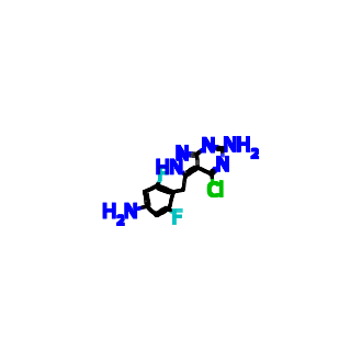 Nc1cc(F)c(Cc2[nH]nc3nc(N)nc(Cl)c23)c(F)c1